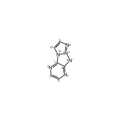 c1cnc2c(n1)[n-][n+]1nccn21